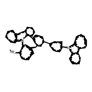 N#Cc1ccc(-c2ccc(-n3c4ccccc4c4ccccc43)cc2)cc1-c1cccc(C#N)c1-n1c2ccccc2c2ccccc21